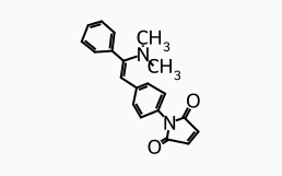 CN(C)C(=Cc1ccc(N2C(=O)C=CC2=O)cc1)c1ccccc1